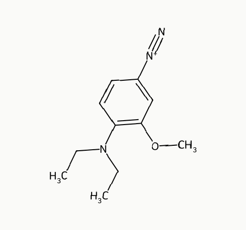 CCN(CC)c1ccc([N+]#N)cc1OC